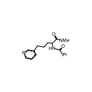 CNC(=O)C(CCCc1cccnc1)NC(=O)C(C)C